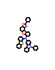 c1ccc(-c2nc3c(ccc4oc5c(N(c6ccc7c(c6)c6ccccc6n7-c6ccccc6)c6cccc7c6sc6ccccc67)cccc5c43)o2)cc1